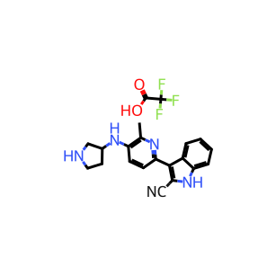 Cc1nc(-c2c(C#N)[nH]c3ccccc23)ccc1NC1CCNC1.O=C(O)C(F)(F)F